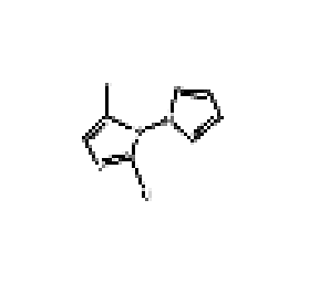 Cc1cnc(Cl)n1-n1ccnc1